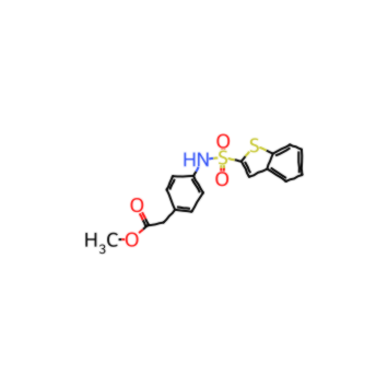 COC(=O)Cc1ccc(NS(=O)(=O)c2cc3ccccc3s2)cc1